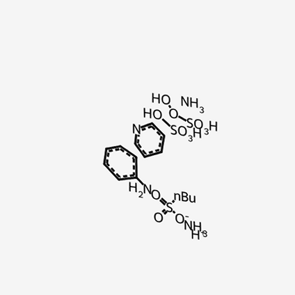 CCCCS(=O)(=O)[O-].N.N.Nc1ccccc1.O=S(=O)(O)O.O=S(=O)(O)OO.[H+].c1ccncc1